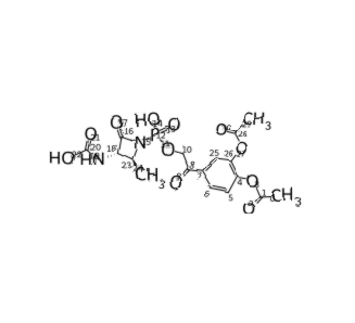 CC(=O)Oc1ccc(C(=O)COP(=O)(O)N2C(=O)[C@@H](NC(=O)O)[C@@H]2C)cc1OC(C)=O